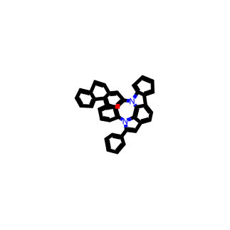 c1ccc(-c2cc3ccc4c5ccccc5n(-c5ccc6c(ccc7ccccc76)c5)c4c3n2-c2ccccc2)cc1